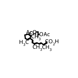 CC(=O)OCCOC(C)=O.CC(C=CC1=C(C)CCCC1(C)C)=CC=C/C(C)=C\C(=O)O